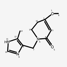 COC1=CC(=O)N(Cc2nc[nH]c2C)CC1